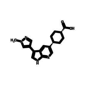 Cn1cc(-c2c[nH]c3ncc([C@H]4CC[C@@H](C(=O)O)CC4)cc23)cn1